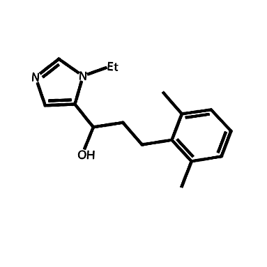 CCn1cncc1C(O)CCc1c(C)cccc1C